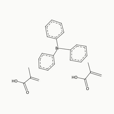 C=C(C)C(=O)O.C=C(C)C(=O)O.c1cc[c]([Bi]([c]2ccccc2)[c]2ccccc2)cc1